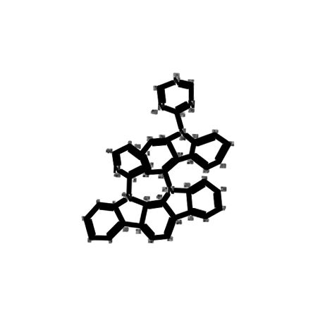 c1cnc(-n2c3ccccc3c3ccc4c5ccccc5n(-c5cccc6c5c5ccccc5n6-c5ncncn5)c4c32)nc1